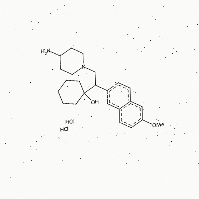 COc1ccc2cc(C(CN3CCC(N)CC3)C3(O)CCCCC3)ccc2c1.Cl.Cl